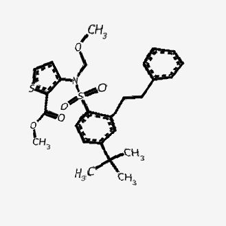 COCN(c1ccsc1C(=O)OC)S(=O)(=O)c1ccc(C(C)(C)C)cc1CCc1ccccc1